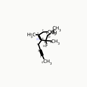 CC#CC/C(=C(\C)CC)C(C)(F)CNC